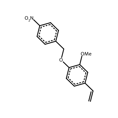 C=Cc1ccc(OCc2ccc([N+](=O)[O-])cc2)c(OC)c1